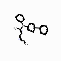 C=C/C=C\C=C(/C)N(c1ccccc1)c1ccc(-c2ccccc2)cc1